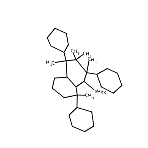 CCCCCCC1C2C(CCCC2(C)C2CCCCC2)C(C)(C2CCCCC2)C(C)(C)C1(C)C1CCCCC1